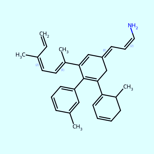 C=C/C(C)=C\C=C(/C)C1=C/C(=C/C=C\N)CC(C2=CC=CCC2C)=C1c1cccc(C)c1